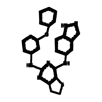 c1ccc(Oc2cccc(Nc3nc4c(c(Nc5ccc6[nH]ncc6c5)n3)SCC4)c2)cc1